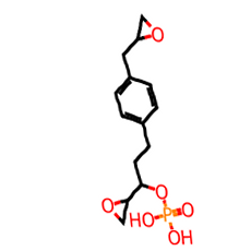 O=P(O)(O)OC(CCc1ccc(CC2CO2)cc1)C1CO1